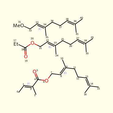 C/C=C(\C)C(=O)OC/C=C(\C)CCC=C(C)C.CCC(=O)OC/C=C(\C)CCC=C(C)C.COC/C=C(\C)CCC=C(C)C